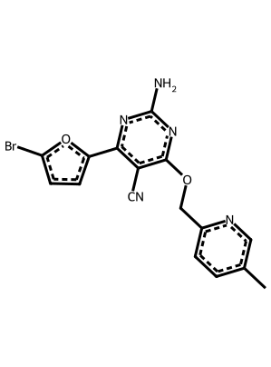 Cc1ccc(COc2nc(N)nc(-c3ccc(Br)o3)c2C#N)nc1